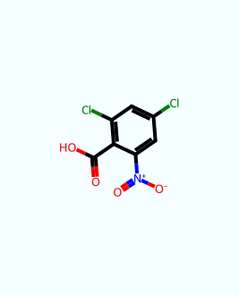 O=C(O)c1c(Cl)cc(Cl)cc1[N+](=O)[O-]